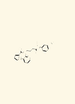 COc1cccc(NC(=O)CCCn2c(=O)c3cccn3c3cccnc32)c1